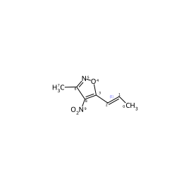 C/C=C/c1onc(C)c1[N+](=O)[O-]